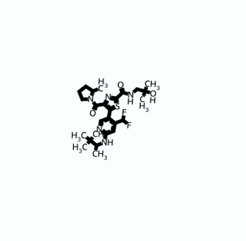 CC1CCCN1C(=O)c1nc(C(=O)NCC(C)(C)O)sc1-c1cnc(NC(C)C(C)(C)C)cc1C(F)F